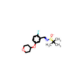 CC(C)(C)[S@@+]([O-])N=Cc1cc(OC2CCOCC2)ccc1F